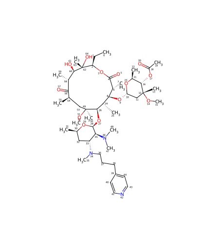 CC[C@H]1OC(=O)[C@H](C)[C@@H](O[C@H]2C[C@@](C)(OC)[C@@H](OC(C)=O)[C@H](C)O2)[C@H](C)[C@@H](O[C@@H]2O[C@H](C)C[C@@H](N(C)CCCc3ccncc3)[C@@H]2N(C)C)[C@@](C)(OC)C[C@@H](C)C(=O)[C@H](C)[C@@H](O)[C@]1(C)O